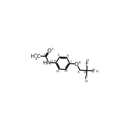 CC(=O)Nc1c[c]c(OCC(F)(F)F)cc1